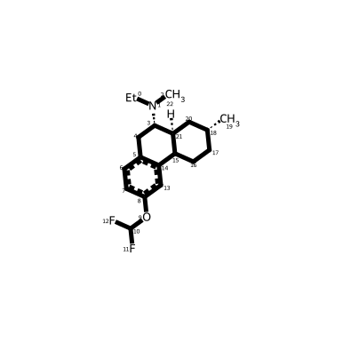 CCN(C)[C@H]1Cc2ccc(OC(F)F)cc2C2CC[C@@H](C)C[C@@H]21